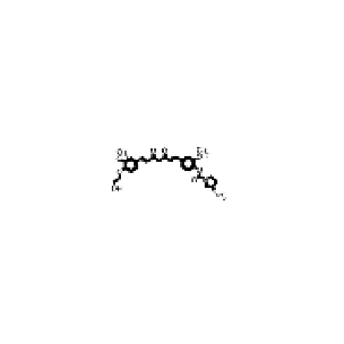 COc1cc(C=CC(=O)CC(=O)C=Cc2ccc(OC(=O)N3CCC(N)C3)c(OC)c2)ccc1OCCO